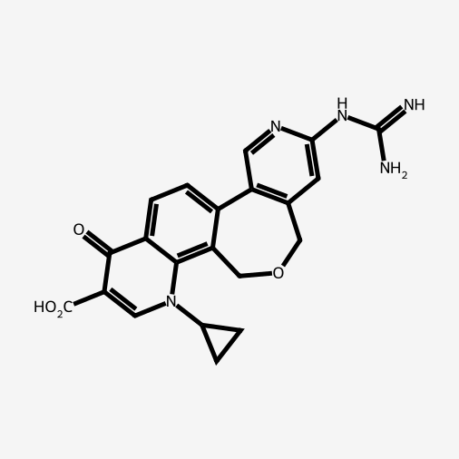 N=C(N)Nc1cc2c(cn1)-c1ccc3c(=O)c(C(=O)O)cn(C4CC4)c3c1COC2